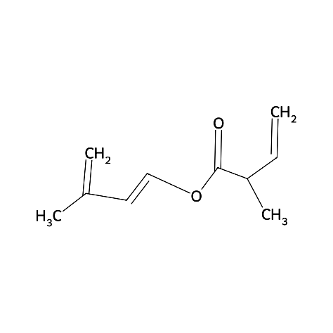 C=CC(C)C(=O)OC=CC(=C)C